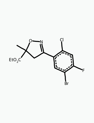 CCOC(=O)C1(C)CC(c2cc(Br)c(F)cc2Cl)=NO1